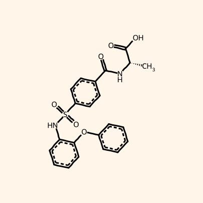 C[C@H](NC(=O)c1ccc(S(=O)(=O)Nc2ccccc2Oc2ccccc2)cc1)C(=O)O